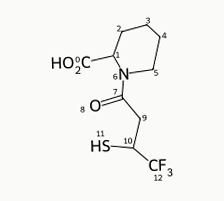 O=C(O)C1CCCCN1C(=O)CC(S)C(F)(F)F